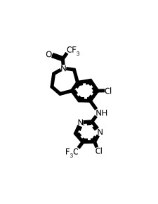 O=C(N1CCCc2cc(Nc3ncc(C(F)(F)F)c(Cl)n3)c(Cl)cc2C1)C(F)(F)F